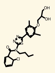 CCCCN(C(=O)C1C=CC=CC1Cl)c1nnc(-c2cc(C)c(OCC(O)CO)c(C)c2)s1